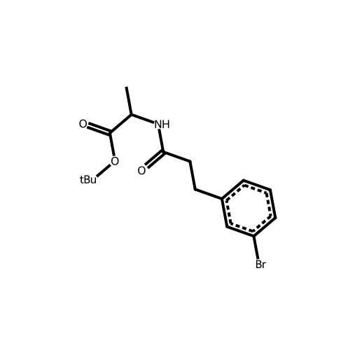 CC(NC(=O)CCc1cccc(Br)c1)C(=O)OC(C)(C)C